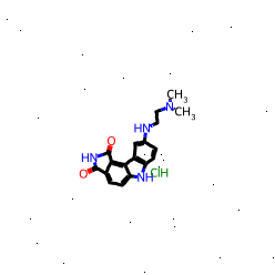 CN(C)CCNc1ccc2[nH]c3ccc4c(c3c2c1)C(=O)NC4=O.Cl